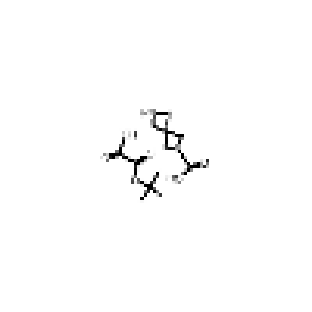 CC(C)(C)OC(=O)C(=O)O.O=C(O)N1CC2(CNC2)C1